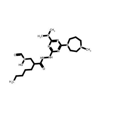 CCCCCC(CN(O)C=O)C(=O)NNc1nc(N(C)C)nc(N2CCCN(C)CC2)n1